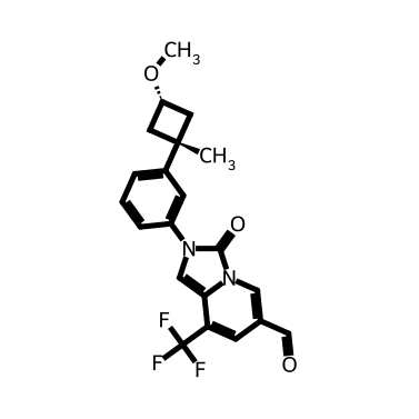 CO[C@H]1C[C@@](C)(c2cccc(-n3cc4c(C(F)(F)F)cc(C=O)cn4c3=O)c2)C1